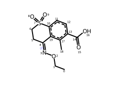 CCO/N=C1/CCS(=O)(=O)c2ccc(C(=O)O)c(C)c21